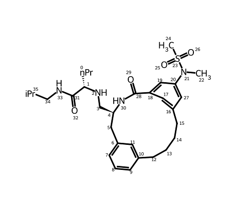 CCC[C@H](NC[C@@H]1Cc2cccc(c2)CCCCc2cc(cc(N(C)S(C)(=O)=O)c2)C(=O)N1)C(=O)NCC(C)C